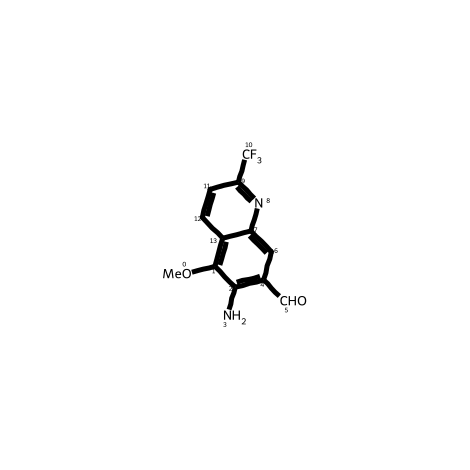 COc1c(N)c(C=O)cc2nc(C(F)(F)F)ccc12